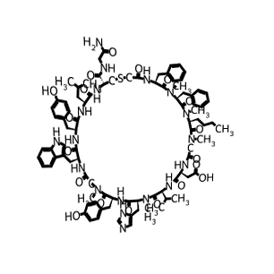 CCCC[C@H]1C(=O)N(C)CC(=O)N[C@@H](CC(=O)O)C(=O)N[C@@H](C(C)C)C(=O)N(C)[C@@H](Cc2cnc[nH]2)C(=O)N[C@@H](Cc2ccc(O)cc2)C(=O)N(C)CC(=O)N[C@@H](Cc2c[nH]c3ccccc23)C(=O)N[C@@H](Cc2ccc(O)cc2)C(=O)N[C@@H](CC(C)C)C(=O)N[C@H](C(=O)NCC(N)=O)CSCC(=O)N[C@@H](Cc2ccccc2)C(=O)N(C)[C@@H](Cc2ccccc2)C(=O)N1C